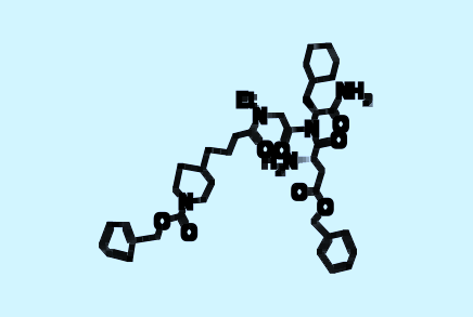 CCN(CC(=O)N(C(=O)[C@@H](N)CC(=O)OCc1ccccc1)[C@@H](CC1CCCCC1)C(N)=O)C(=O)CCCC1CCN(C(=O)OCc2ccccc2)CC1